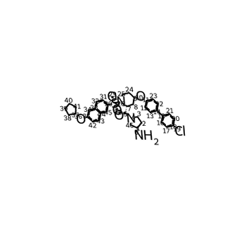 N[C@H]1CCN(C(=O)[C@H]2C[C@H](Oc3ccc(-c4ccc(Cl)cc4)cc3)CCN2S(=O)(=O)c2ccc3cc(OC4CCCC4)ccc3c2)C1